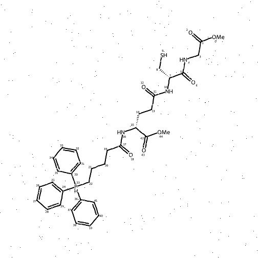 COC(=O)CNC(=O)[C@@H](CS)NC(=O)CC[C@@H](NC(=O)CCCC[PH](c1ccccc1)(c1ccccc1)c1ccccc1)C(=O)OC